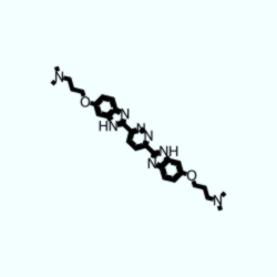 CN(C)CCCOc1ccc2nc(-c3ccc(-c4nc5ccc(OCCCN(C)C)cc5[nH]4)nn3)[nH]c2c1